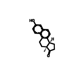 C[C@]12CCc3c(ccc4cc(O)ccc34)[C@H]1CCC2=O